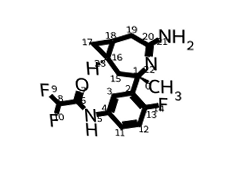 C[C@@]1(c2cc(NC(=O)C(F)F)ccc2F)C[C@H]2CC2CC(N)=N1